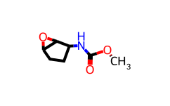 COC(=O)NC1CCC2OC12